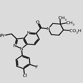 CC(C)Cc1nn(-c2ccc(Cl)c(F)c2)c2ccc(C(=O)N3CCC(C(=O)O)C(C)(C)C3)nc12